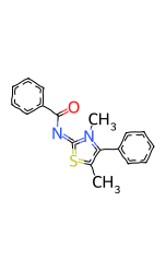 Cc1s/c(=N/C(=O)c2ccccc2)n(C)c1-c1ccccc1